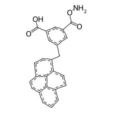 NOC(=O)c1cc(Cc2ccc3ccc4cccc5ccc2c3c45)cc(C(=O)O)c1